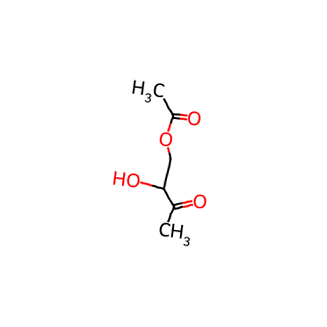 CC(=O)OCC(O)C(C)=O